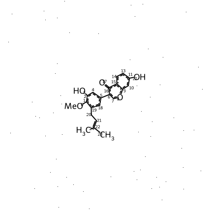 COc1c(O)cc(-c2coc3cc(O)ccc3c2=O)cc1CC=C(C)C